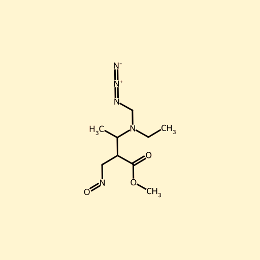 CCN(CN=[N+]=[N-])C(C)C(CN=O)C(=O)OC